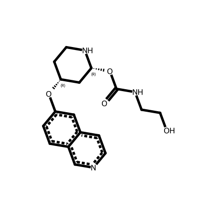 O=C(NCCO)O[C@@H]1C[C@H](Oc2ccc3cnccc3c2)CCN1